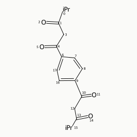 CC(C)C(=O)CC(=O)c1ccc(C(=O)CC(=O)C(C)C)cc1